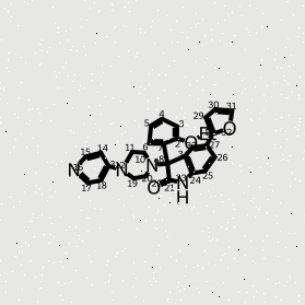 CCOc1ccccc1C1(N2CCN(c3ccncc3)CC2)C(=O)Nc2ccc(-c3ccco3)cc21